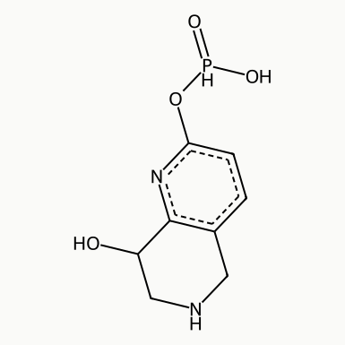 O=[PH](O)Oc1ccc2c(n1)C(O)CNC2